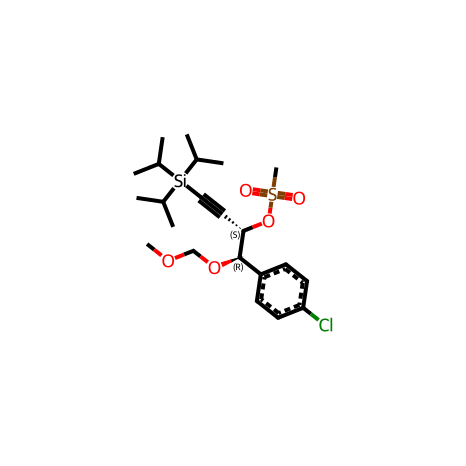 COCO[C@H](c1ccc(Cl)cc1)[C@H](C#C[Si](C(C)C)(C(C)C)C(C)C)OS(C)(=O)=O